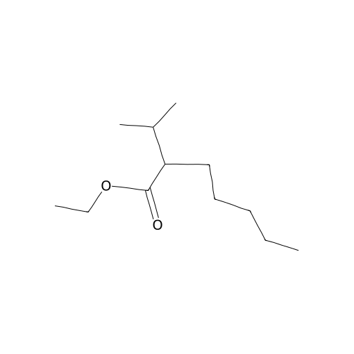 CCCCCC(C(=O)OCC)C(C)C